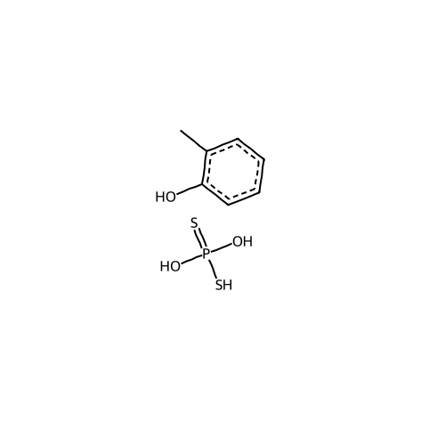 Cc1ccccc1O.OP(O)(=S)S